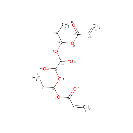 C=CC(=O)OC(CC)OC(=O)C(=O)OC(CC)OC(=O)C=C